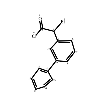 CCC(C(=O)Cl)c1cccc(-c2ccccc2)c1